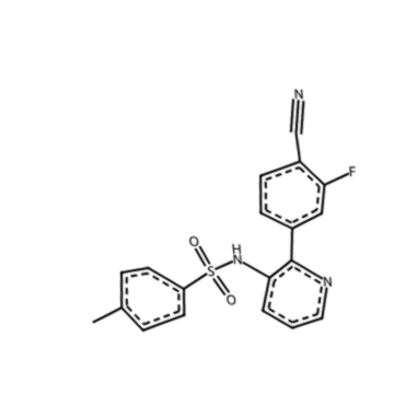 Cc1ccc(S(=O)(=O)Nc2cccnc2-c2ccc(C#N)c(F)c2)cc1